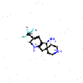 N[C@@H]1C2=C(CC13CCNCC3)NCC(C(F)(F)F)=C2